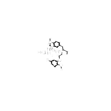 CCC(Cc1ccc(OC)c(S(N)(=O)=O)c1)NCCOc1cc(F)ccc1OC.Cl